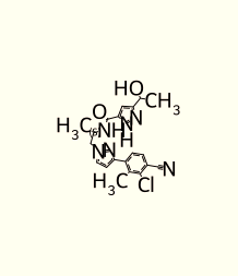 Cc1c(-c2ccn(C[C@H](C)NC(=O)c3cc(C(C)O)n[nH]3)n2)ccc(C#N)c1Cl